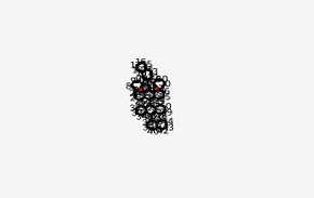 c1ccc([Si](c2ccccc2)(c2ccc3ccccc3c2)c2c3ccccc3c(-c3c4ccccc4c(-c4cccc5ccccc45)c4ccccc34)c3ccccc23)cc1